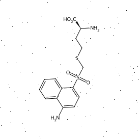 Nc1ccc(S(=O)(=O)CSCC[C@H](N)C(=O)O)c2ccccc12